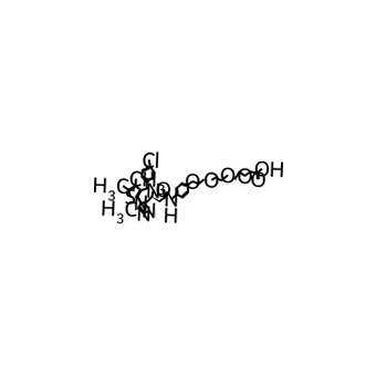 Cc1sc2c(c1C)C(c1ccc(Cl)cc1)=N[C@@H](CC(=O)Nc1ccc(OCCOCCOCCOCC(=O)O)cc1)c1nnc(C)n1-2